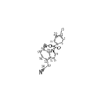 Cc1ccc(S(=O)(=O)n2ccc3c(CC#N)ccc(Br)c32)cc1